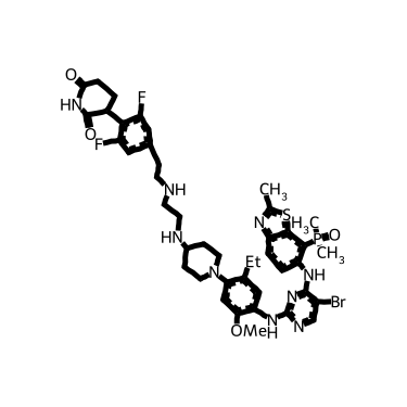 CCc1cc(Nc2ncc(Br)c(Nc3ccc4nc(C)sc4c3P(C)(C)=O)n2)c(OC)cc1N1CCC(NCCNCCc2cc(F)c(C3CCC(=O)NC3=O)c(F)c2)CC1